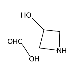 O=CO.OC1CNC1